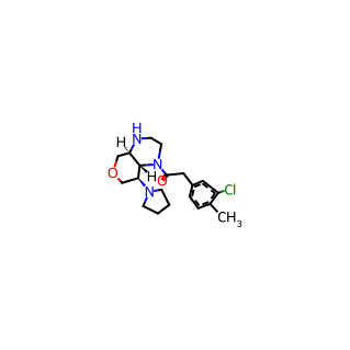 Cc1ccc(CC(=O)N2CCN[C@@H]3COC[C@H](N4CCCC4)[C@H]32)cc1Cl